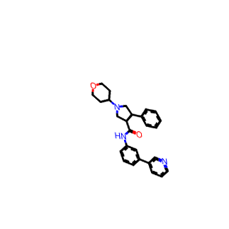 O=C(Nc1cccc(-c2cccnc2)c1)C1CN(C2CCOCC2)CC1c1ccccc1